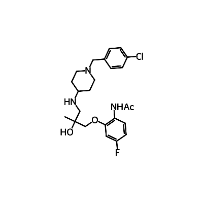 CC(=O)Nc1ccc(F)cc1OCC(C)(O)CNC1CCN(Cc2ccc(Cl)cc2)CC1